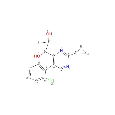 CC(C)(O)C(O)c1nc(C2CC2)ncc1-c1ccccc1Cl